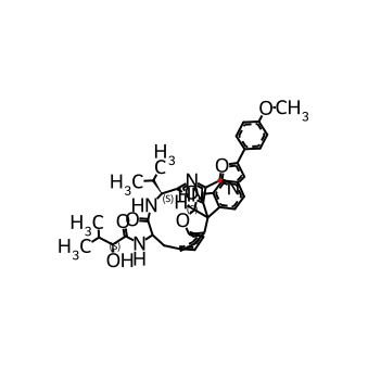 COc1ccc(-c2cnc(-c3nc4oc3C35c6ccccc6N[C@H]3Oc3ccc(cc35)CC(NC(=O)[C@@H](O)C(C)C)C(=O)N[C@H]4C(C)C)o2)cc1